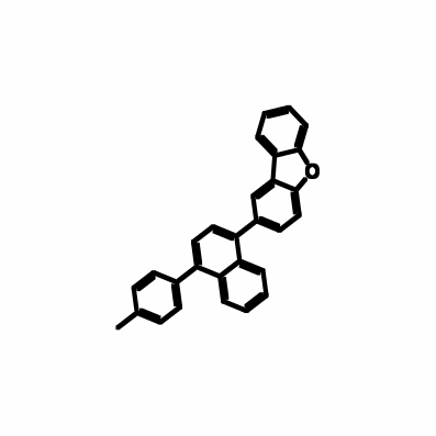 Cc1ccc(-c2ccc(-c3ccc4oc5ccccc5c4c3)c3ccccc23)cc1